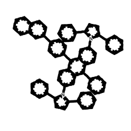 c1ccc(-c2c3ccc(-n4c(-c5ccccc5)ccc4-c4ccccc4)cc3c(-c3ccc(-c4ccc5ccccc5c4)cc3)c3ccc(-n4c(-c5ccccc5)ccc4-c4ccccc4)cc23)cc1